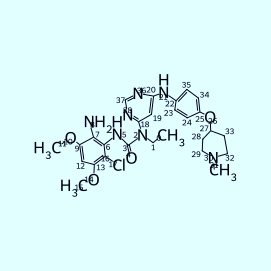 CCN(C(=O)Nc1c(N)c(OC)cc(OC)c1Cl)c1cc(Nc2ccc(OC3CCN(C)CC3)cc2)ncn1